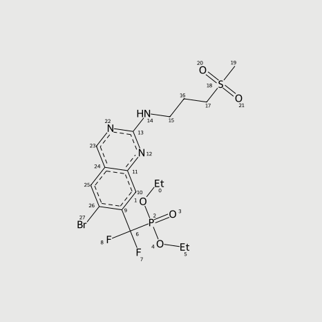 CCOP(=O)(OCC)C(F)(F)c1cc2nc(NCCCS(C)(=O)=O)ncc2cc1Br